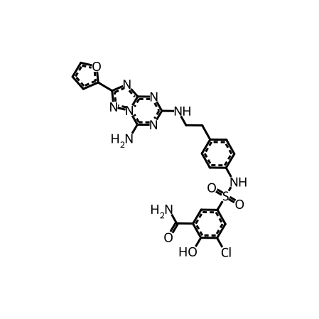 NC(=O)c1cc(S(=O)(=O)Nc2ccc(CCNc3nc(N)n4nc(-c5ccco5)nc4n3)cc2)cc(Cl)c1O